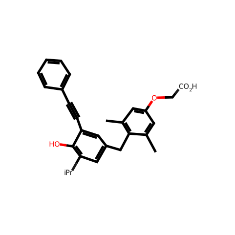 Cc1cc(OCC(=O)O)cc(C)c1Cc1cc(C#Cc2ccccc2)c(O)c(C(C)C)c1